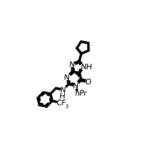 CCCn1c(NCc2ccccc2C(F)(F)F)nc2nc(C3CCCC3)[nH]c2c1=O